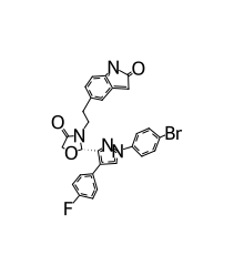 O=C1C=c2cc(CCN3C(=O)CO[C@H]3c3nn(-c4ccc(Br)cc4)cc3-c3ccc(F)cc3)ccc2=N1